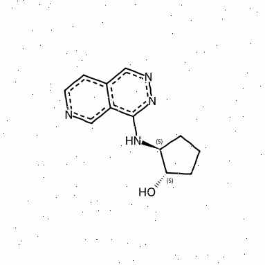 O[C@H]1CCC[C@@H]1Nc1nncc2ccncc12